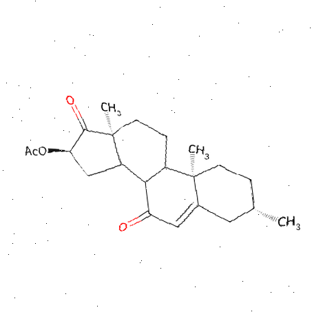 CC(=O)O[C@@H]1CC2C3C(=O)C=C4C[C@@H](C)CC[C@]4(C)C3CC[C@]2(C)C1=O